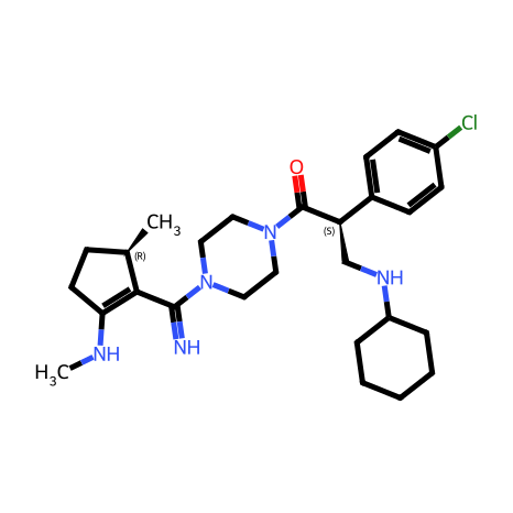 CNC1=C(C(=N)N2CCN(C(=O)[C@H](CNC3CCCCC3)c3ccc(Cl)cc3)CC2)[C@H](C)CC1